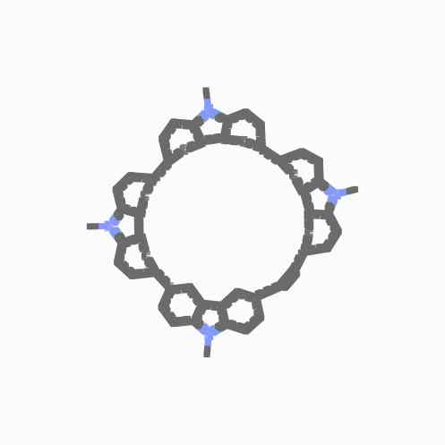 Cn1c2ccc3c#cc4ccc5c(c4)c4cc(ccc4n5C)c4ccc5c(c4)c4cc(ccc4n5C)c4ccc5c(c4)c4cc(ccc4n5C)c4ccc1c(c4)c2c3